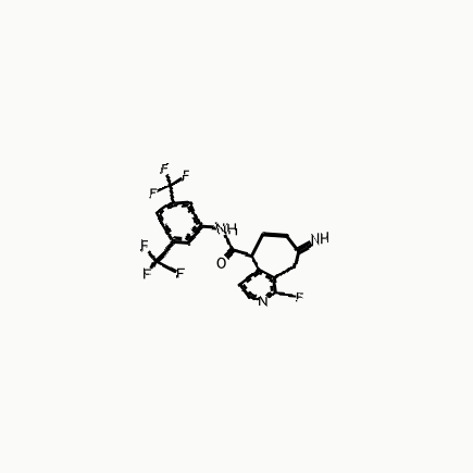 N=C1CCC(C(=O)Nc2cc(C(F)(F)F)cc(C(F)(F)F)c2)c2ccnc(F)c2C1